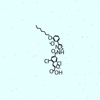 CCCCCCCOc1cccc(-c2csc(NC(=O)c3cc(Cl)c(/C=C(\OC)C(=O)O)c(Cl)c3)n2)c1OC